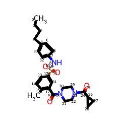 CCCCc1ccc(NS(=O)(=O)c2ccc(C)c(C(=O)N3CCN(C(=O)C4CC4)CC3)c2)cc1